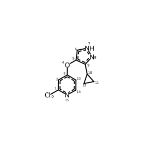 Clc1cc(Oc2c[nH]nc2C2CC2)ccn1